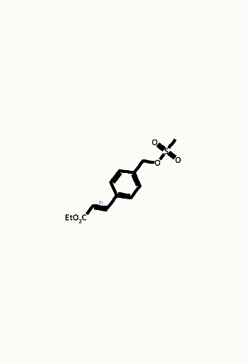 CCOC(=O)/C=C/c1ccc(COS(C)(=O)=O)cc1